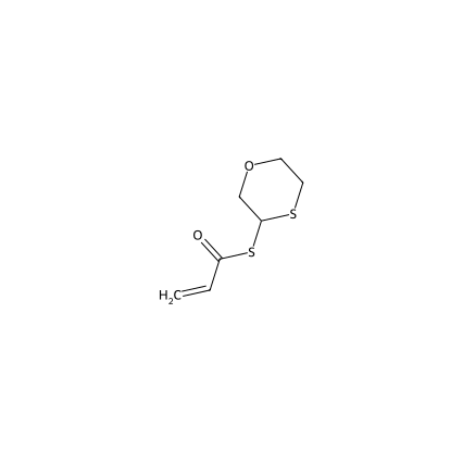 C=CC(=O)SC1COCCS1